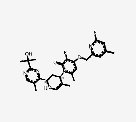 CC1=CN[C@@H](c2nc(C(C)(C)O)ncc2C)C[C@H]1n1c(C)cc(OCc2cc(C)cc(F)n2)c(Br)c1=O